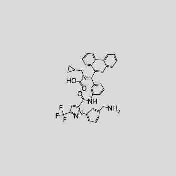 NCc1cccc(-n2nc(C(F)(F)F)cc2C(=O)Nc2cccc(C(c3cc4ccccc4c4ccccc34)N(CC3CC3)C(=O)O)c2)c1